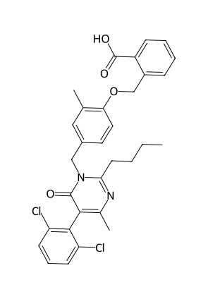 CCCCc1nc(C)c(-c2c(Cl)cccc2Cl)c(=O)n1Cc1ccc(OCc2ccccc2C(=O)O)c(C)c1